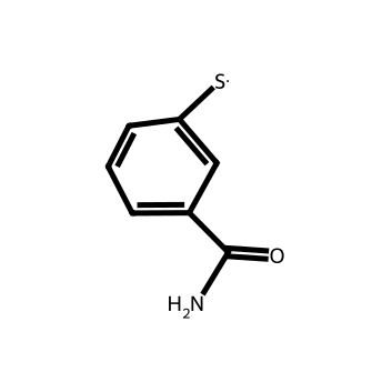 NC(=O)c1cccc([S])c1